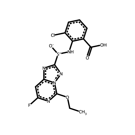 CCOc1nc(F)cc2nc([S+]([O-])Nc3c(Cl)cccc3C(=O)O)nn12